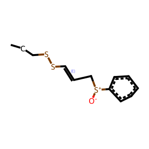 CCCSS/C=C/C[S+]([O-])c1ccccc1